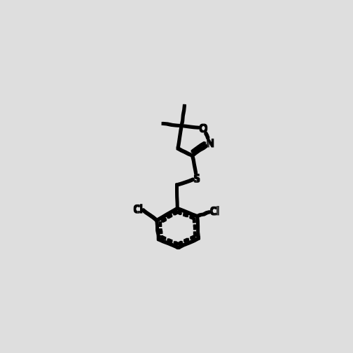 CC1(C)CC(SCc2c(Cl)cccc2Cl)=NO1